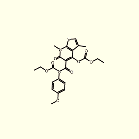 CCOC(=O)Oc1c(C(=O)N(C(=O)OCC)c2ccc(OC)cc2)c(=O)n(C)c2scc(C)c12